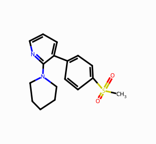 CS(=O)(=O)c1ccc(-c2cccnc2N2CCCCC2)cc1